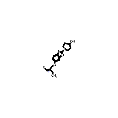 CC/C(=C/F)COc1ccc2nc(N3CCC(O)CC3)oc2c1